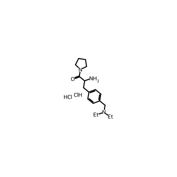 CCN(CC)Cc1ccc(CC(N)C(=O)N2CCCC2)cc1.Cl.Cl